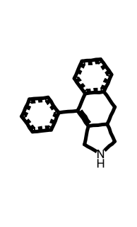 c1ccc(C2=C3CNCC3Cc3ccccc32)cc1